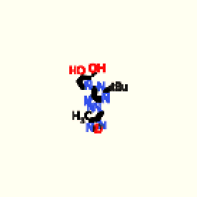 Cc1nonc1Cn1nnc2c(N3CC[C@H](O)[C@@H]3CO)nc(C(C)(C)C)nc21